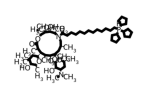 CC[C@H]1OC(=O)[C@H](C)[C@@H](C2CC(C)(C)[C@@H](O)[C@H](C)O2)[C@H](C)[C@@H](O[C@@H]2O[C@H](C)C[C@H](N(C)C)[C@H]2O)[C@](C)(O)C[C@@H](C)CN(C(=O)CCCCCCCCCCCC[PH](C2CCCC2)(C2CCCC2)C2CCCC2)[C@H](C)[C@@H](O)[C@]1(C)O